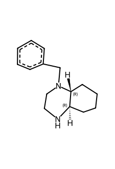 c1ccc(CN2CCN[C@@H]3CCCC[C@H]32)cc1